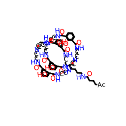 CC(=O)CCCC(=O)NCCCCC1CN2CCNC(=O)c3cccc(c3O)C(=O)NCCN(CCNC(=O)c3cccc(c3O)C(=O)N1)CCN1CCNC(=O)c3cccc(c3O)C(=O)NCCN(CCNC(=O)c3cccc(c3O)C(=O)NCC1)CC2